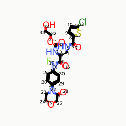 O=C(N[C@@H](CNC(=O)c1ccc(Cl)s1)C(=O)N(F)c1ccc(N2CCOCC2=O)cc1)OCCO